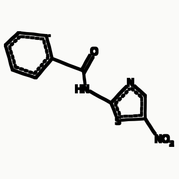 O=C(Nc1ncc([N+](=O)[O-])s1)c1[c]cccc1